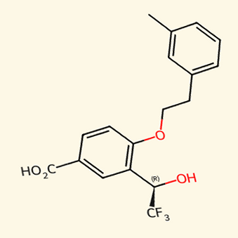 Cc1cccc(CCOc2ccc(C(=O)O)cc2[C@@H](O)C(F)(F)F)c1